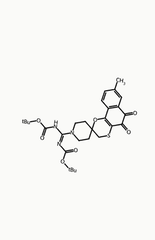 Cc1ccc2c(c1)C(=O)C(=O)C1=C2OC2(CCN(/C(=N\C(=O)OC(C)(C)C)NC(=O)OC(C)(C)C)CC2)CS1